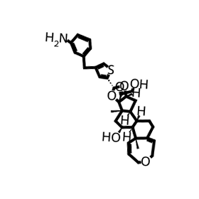 C[C@]12/C=C\COC/C=C\1CC[C@@H]1[C@@H]2[C@@H](O)C[C@@]2(C)[C@H]1C[C@H]1O[C@@H](c3cc(Cc4cccc(N)c4)cs3)O[C@]12C(=O)CO